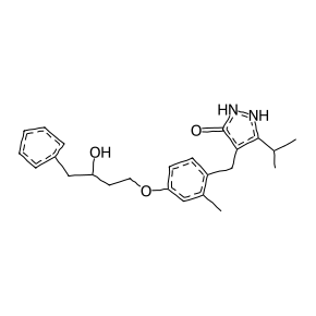 Cc1cc(OCCC(O)Cc2ccccc2)ccc1Cc1c(C(C)C)[nH][nH]c1=O